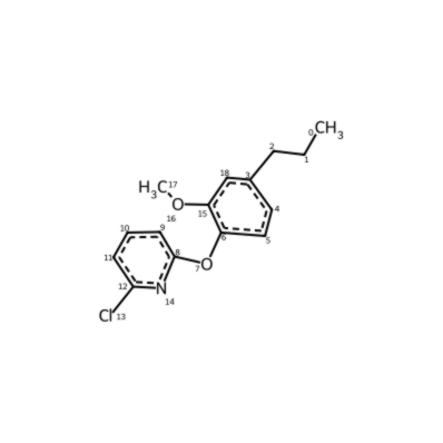 CCCc1ccc(Oc2cccc(Cl)n2)c(OC)c1